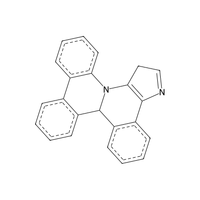 C1=NC2=C(C1)N1c3ccccc3-c3ccccc3C1c1ccccc12